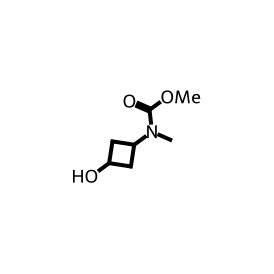 COC(=O)N(C)C1CC(O)C1